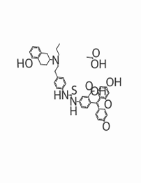 CC(=O)O.CCCN(CCc1ccc(NC(=S)Nc2ccc(-c3c4ccc(=O)cc-4oc4cc(O)ccc34)c(C(=O)O)c2)cc1)C1CCc2c(O)cccc2C1